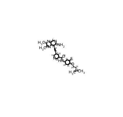 Cc1nc2cnc(N)c(C#Cc3cncc(C(=O)Nc4ccc(OCCN(C)C)c(F)c4)c3)c2nc1C